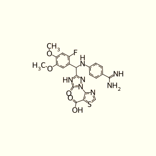 COc1cc(F)c(C(Nc2ccc(C(=N)N)cc2)c2nn(-c3ncsc3C(=O)O)c(=O)[nH]2)cc1OC